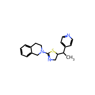 CC(c1ccncc1)C1CN=C(N2CCc3ccccc3C2)S1